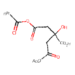 CCCC(=O)OC(=O)CC(O)(CC(=O)OC(C)=O)C(=O)O